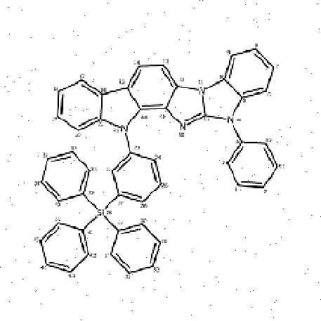 c1ccc(-n2c3ccccc3n3c4ccc5c6ccccc6n(-c6cccc([Si](c7ccccc7)(c7ccccc7)c7ccccc7)c6)c5c4nc23)cc1